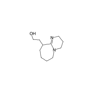 OCCC1CCCCN2CCCN=C12